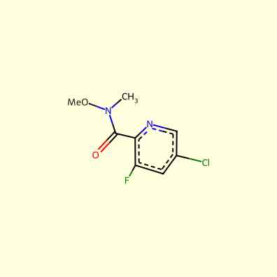 CON(C)C(=O)c1ncc(Cl)cc1F